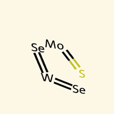 [S]=[Mo].[Se]=[W]=[Se]